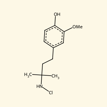 COc1cc(CCC(C)(C)NCl)ccc1O